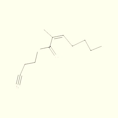 CCCCC=C(C)C(=O)OCCC#N